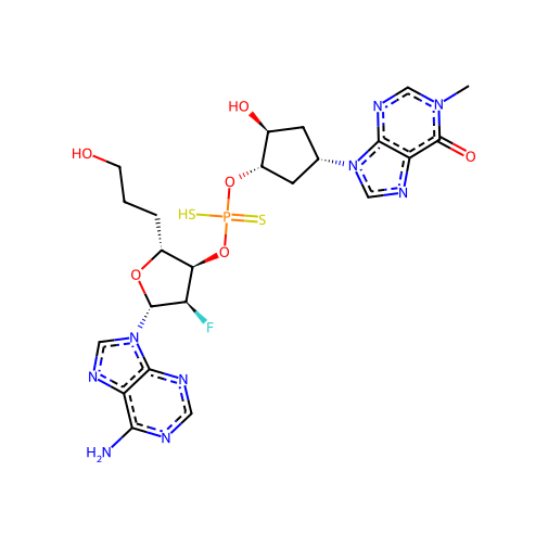 Cn1cnc2c(ncn2[C@@H]2C[C@H](OP(=S)(S)O[C@H]3[C@@H](F)[C@H](n4cnc5c(N)ncnc54)O[C@@H]3CCCO)[C@@H](O)C2)c1=O